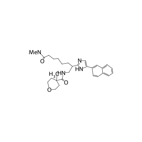 CNC(=O)CCCCCC(CNC(=O)C1(C)CCOCC1)c1ncc(-c2ccc3ccccc3c2)[nH]1